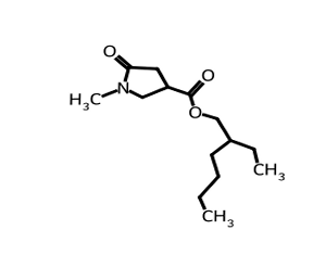 CCCCC(CC)COC(=O)C1CC(=O)N(C)C1